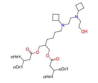 CCCCCCCCC(CCCCCC)CC(=O)OCC(CCCCN(CCN(CCO)C1CCC1)C1CCC1)COC(=O)CC(CCCCCC)CCCCCCCC